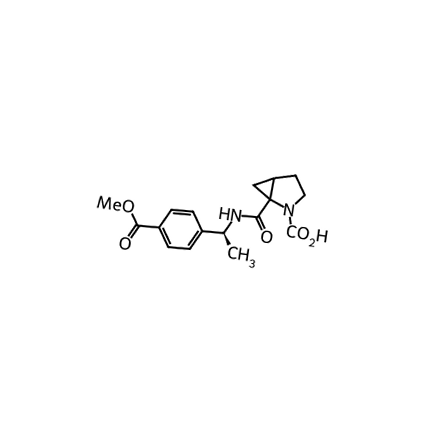 COC(=O)c1ccc([C@H](C)NC(=O)C23CC2CCN3C(=O)O)cc1